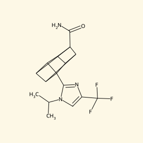 CC(C)n1cc(C(F)(F)F)nc1C12C3C4C1C1C2C3C41C(N)=O